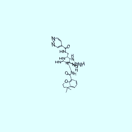 CC1(C)CCOc2c(C(=O)NC3CN4C(=N)N[C@@H](CNC(=O)c5ccnnc5)C5NC(=N)NC54[C@@H]3O)cccc21